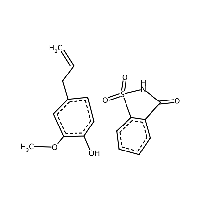 C=CCc1ccc(O)c(OC)c1.O=C1NS(=O)(=O)c2ccccc21